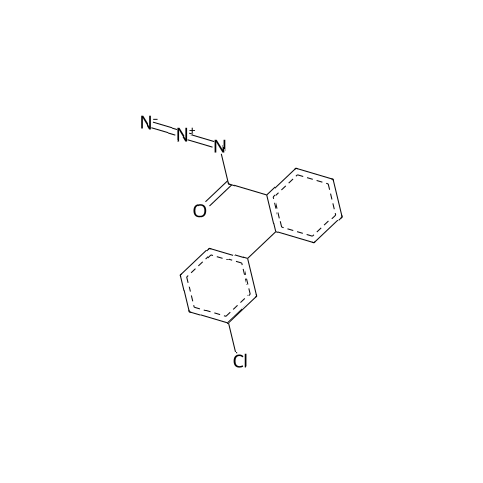 [N-]=[N+]=NC(=O)c1ccccc1-c1cccc(Cl)c1